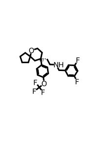 Fc1cc(F)cc(CNCC[C@@]2(c3ccc(OC(F)(F)F)cc3)CCOC3(CCCC3)C2)c1